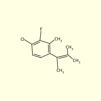 CC(C)=C(C)c1ccc(Cl)c(F)c1C